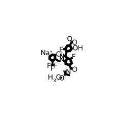 COC1CN(C(=O)c2cc(F)c3c(-c4cc(O)c(C(=O)[O-])cc4F)nn(Cc4c(Cl)cccc4C(F)(F)F)c3c2)C1.[Na+]